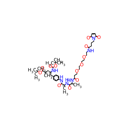 C[C@H](C[C@H](Cc1ccc(NC(=O)[C@H](C)NC(=O)[C@H](C)NC(=O)CCOCCOCCOCCNC(=O)CCCN2C(=O)C=CC2=O)cc1)NC(=O)OC(C)(C)C)C(=O)OC(C)(C)C